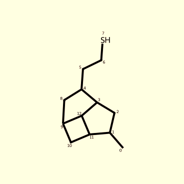 CC1CC2C(CCS)CC3CC1C32